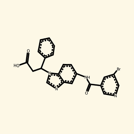 O=C(O)CC(c1ccccc1)n1cnc2cc(NC(=O)c3cncc(Br)c3)ccc21